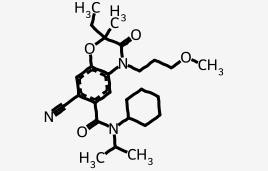 CCC1(C)Oc2cc(C#N)c(C(=O)N(C(C)C)C3CCCCC3)cc2N(CCCOC)C1=O